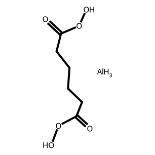 O=C(CCCCC(=O)OO)OO.[AlH3]